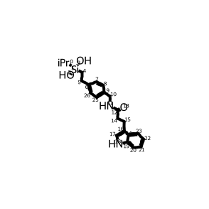 CC(C)[Si](O)(O)CCc1ccc(CNC(=O)CCc2c[nH]c3ccccc23)cc1